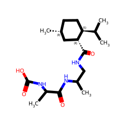 CC(CNC(=O)[C@@H]1C[C@H](C)CC[C@H]1C(C)C)NC(=O)C(C)NC(=O)O